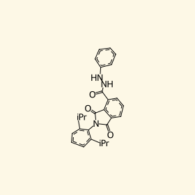 CC(C)c1cccc(C(C)C)c1N1C(=O)c2cccc(C(=O)NNc3ccccc3)c2C1=O